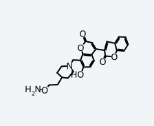 NOCCC1CCN(Cc2c(O)ccc3c(-c4cc5ccccc5oc4=O)cc(=O)oc23)CC1